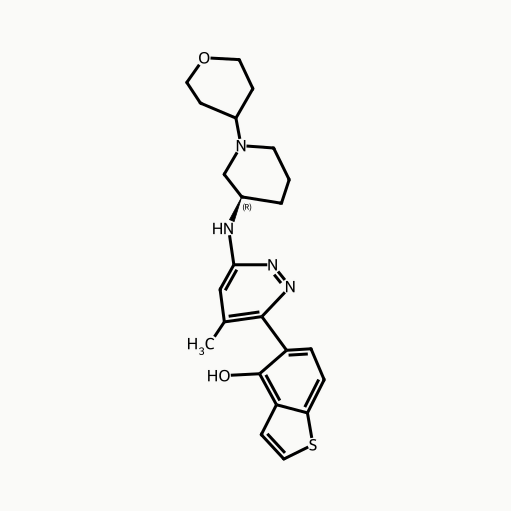 Cc1cc(N[C@@H]2CCCN(C3CCOCC3)C2)nnc1-c1ccc2sccc2c1O